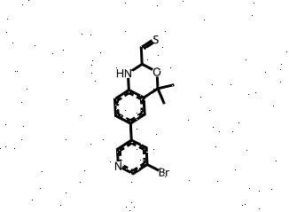 CC1(C)OC(C=S)Nc2ccc(-c3cncc(Br)c3)cc21